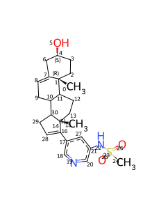 C[C@]12CC[C@H](O)CC1=CCC1C2CC[C@]2(C)C(c3cncc(NS(C)(=O)=O)c3)=CCC12